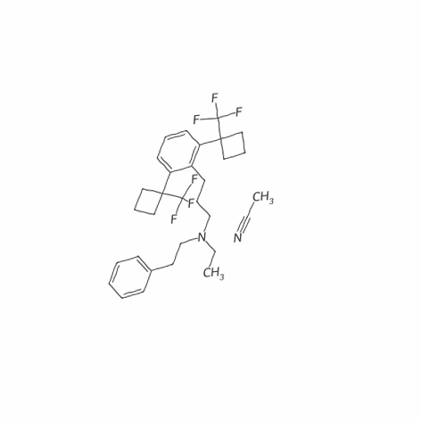 CC#N.CCN(CCCc1c(C2(C(F)(F)F)CCC2)cccc1C1(C(F)(F)F)CCC1)CCc1ccccc1